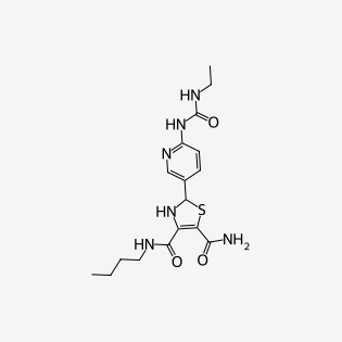 CCCCNC(=O)C1=C(C(N)=O)SC(c2ccc(NC(=O)NCC)nc2)N1